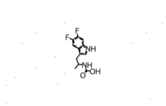 CC(Cc1c[nH]c2cc(F)c(F)cc12)NC(=O)O